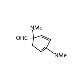 CNC1=CCC(C=O)(NC)C=C1